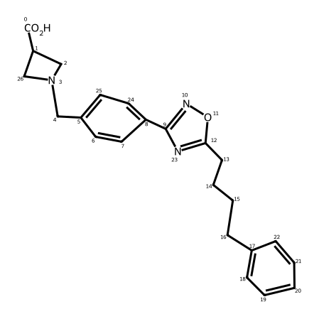 O=C(O)C1CN(Cc2ccc(-c3noc(CCCCc4ccccc4)n3)cc2)C1